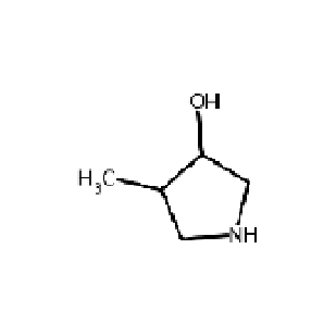 CC1CNCC1O